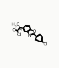 C[C@@H](C(=O)Cl)c1ccc2oc(-c3ccc(Cl)cc3)nc2c1